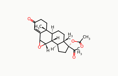 CC(=O)O[C@]1(C(C)=O)CC[C@H]2[C@@H]3[C@@H]4OC4C4=CC(=O)CC[C@]4(C)[C@H]3CC[C@@]21C